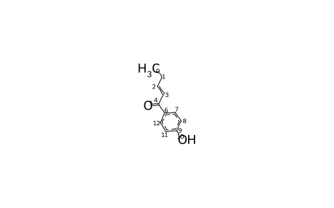 CCC=CC(=O)c1ccc(O)cc1